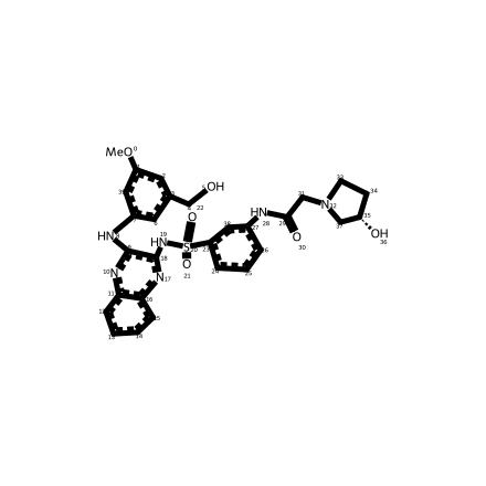 COc1cc(CO)cc(Nc2nc3ccccc3nc2NS(=O)(=O)c2cccc(NC(=O)CN3CC[C@H](O)C3)c2)c1